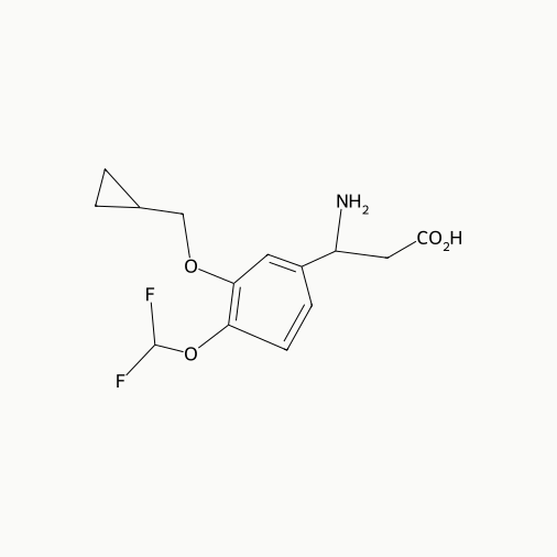 NC(CC(=O)O)c1ccc(OC(F)F)c(OCC2CC2)c1